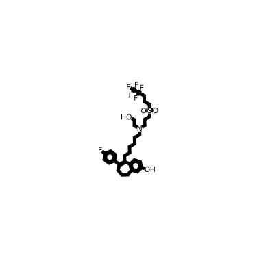 O=S(=O)(CCCN(CCO)CCCCCCC1=C(c2ccc(F)cc2)CCCc2cc(O)ccc21)CCCC(F)(F)C(F)(F)F